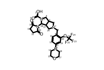 O=C(O)N1CC2CN(Cc3ccc(N4CCOCC4)cc3OC(F)(F)F)CC2C1N1C(=O)CCC1=O